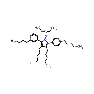 CCCCCC1=C(c2ccc(CCCCC)cc2)[N+](=[N-])C(c2cccc(CCCC)c2)=C1CCCCC.C[CH2][Pd][CH2]C